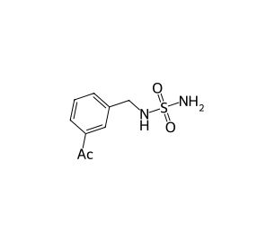 CC(=O)c1cccc(CNS(N)(=O)=O)c1